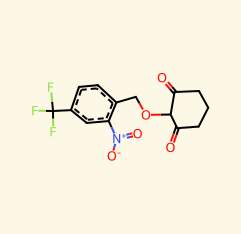 O=C1CCCC(=O)C1OCc1ccc(C(F)(F)F)cc1[N+](=O)[O-]